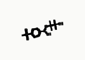 CC(C)(O)C(C)(C)OB(O)c1ccc(S(C)(=O)=O)cc1